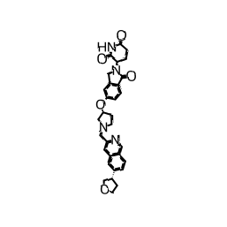 O=C1CCC(N2Cc3cc(O[C@H]4CCN(Cc5cc6cc([C@@H]7CCOC7)ccc6cn5)C4)ccc3C2=O)C(=O)N1